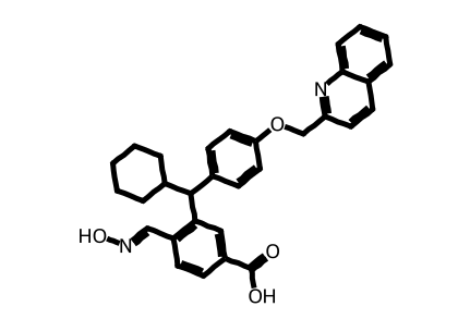 O=C(O)c1ccc(C=NO)c(C(c2ccc(OCc3ccc4ccccc4n3)cc2)C2CCCCC2)c1